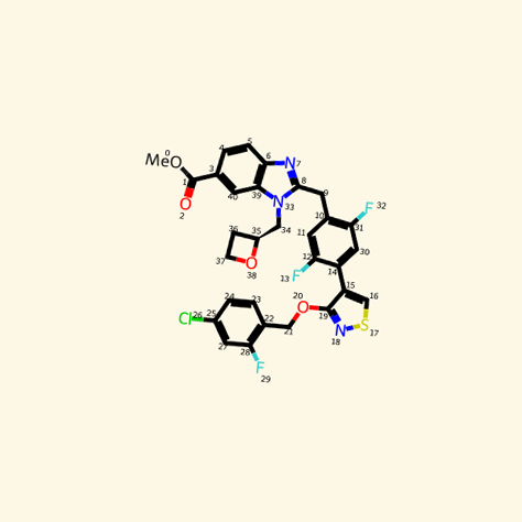 COC(=O)c1ccc2nc(Cc3cc(F)c(-c4csnc4OCc4ccc(Cl)cc4F)cc3F)n(C[C@@H]3CCO3)c2c1